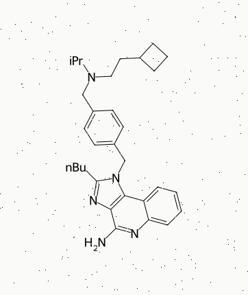 CCCCc1nc2c(N)nc3ccccc3c2n1Cc1ccc(CN(CCC2CCC2)C(C)C)cc1